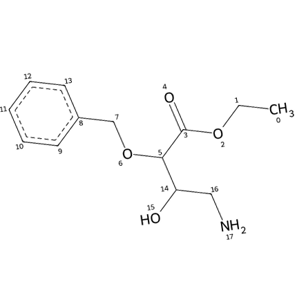 CCOC(=O)C(OCc1ccccc1)C(O)CN